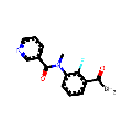 BC(=O)c1cccc(N(C)C(=O)c2cccnc2)c1F